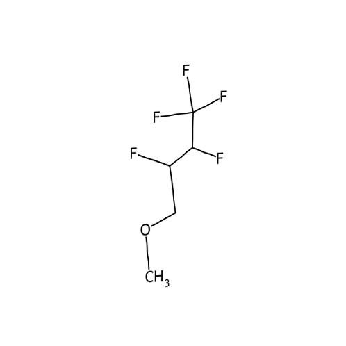 COCC(F)C(F)C(F)(F)F